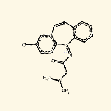 CN(C)CC(=O)/N=S1/c2ccccc2C=Cc2cc(Cl)ccc21